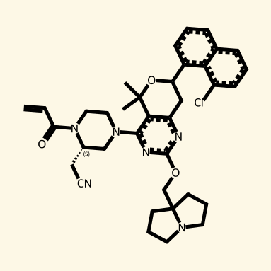 C=CC(=O)N1CCN(c2nc(OCC34CCCN3CCC4)nc3c2C(C)(C)OC(c2cccc4cccc(Cl)c24)C3)C[C@@H]1CC#N